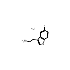 Cl.NCCc1csc2ccc(F)cc12